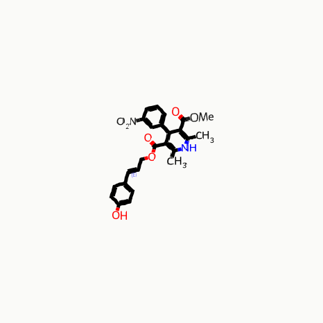 COC(=O)C1=C(C)NC(C)=C(C(=O)OC/C=C/c2ccc(O)cc2)C1c1cccc([N+](=O)[O-])c1